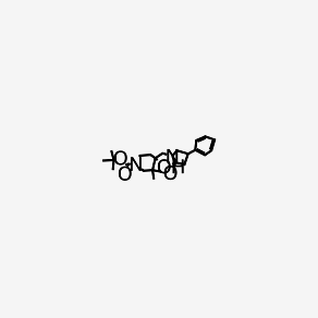 CC(C)(C)OC(=O)N1CCC(O)(CN2CC(c3ccccc3)CC2=O)C(C)(C)C1